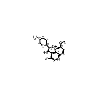 [2H]C(c1c(F)cnc2ccc(OC)nc12)[C@H](O)[C@@H]1CC[C@@H](N)CO1